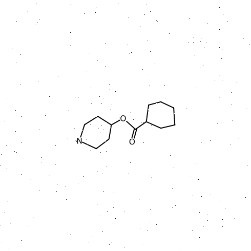 O=C(OC1CC[N]CC1)C1CCCCC1